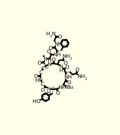 CCC(C)C1NC(=O)[C@H](Cc2ccc(O)cc2)NC(=O)CNC(=O)CC[C@@H](C(=O)N(C)CC(=O)N[C@@H](Cc2ccccc2)C(=O)NCC(N)=O)NC(=O)C(CC(N)=O)NC(=O)[C@H](CCC(N)=O)NC1=O